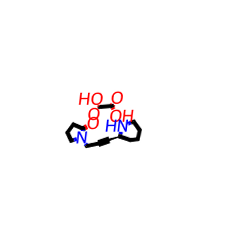 O=C(O)C(=O)O.O=C1CCCN1CC#C[C@@H]1CCCCN1